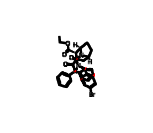 CCOC(=O)[C@H]1[C@H]2CC[C@@H](CN1C(=O)N(c1ccccc1)c1ccccc1)N2C(=O)N(C)Cc1ccc(Br)cc1